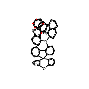 C=C(c1ccccc1)c1c(N(c2cccc3c2-c2ccccc2C32c3ccccc3Oc3ccccc32)c2cccc3sc4ccccc4c23)ccc2cccc(-c3ccccc3C)c12